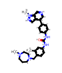 CN1CCCN(Cc2ccc(NC(=O)Nc3ccc(-c4cncc5c4cnn5C)cc3)cc2C(F)(F)F)CC1